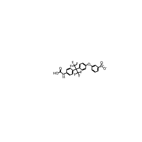 O=C(O)Nc1ccc(C(c2ccc(Oc3cccc([N+](=O)[O-])c3)cc2)(C(F)(F)F)C(F)(F)F)cc1